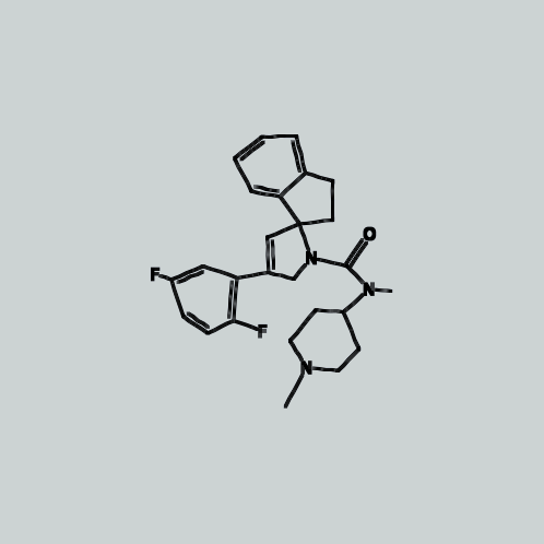 CN1CCC(N(C)C(=O)N2CC(c3cc(F)ccc3F)=CC23CCc2ccccc23)CC1